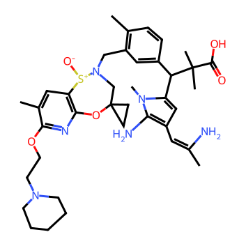 C/C(N)=C/c1cc(C(c2ccc(C)c(CN3CC4(CC4)Oc4nc(OCCN5CCCCC5)c(C)cc4[S+]3[O-])c2)C(C)(C)C(=O)O)n(C)c1N